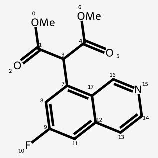 COC(=O)C(C(=O)OC)c1cc(F)cc2ccncc12